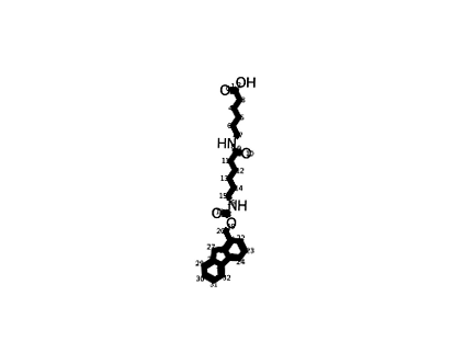 O=C(O)CCCCCNC(=O)CCCCCNC(=O)OCc1cccc2c1Cc1ccccc1-2